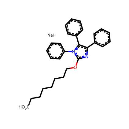 O=C(O)CCCCCCCOc1nc(-c2ccccc2)c(-c2ccccc2)n1-c1ccccc1.[NaH]